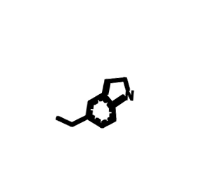 CCc1ccc2c(c1)=CCN=2